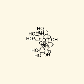 O=C(c1ccc(O)c(OOc2ccc(O)c(O)c2C(=O)c2c(O)cc(O)c(O)c2O)c1O)c1c(O)cc(O)c(O)c1O